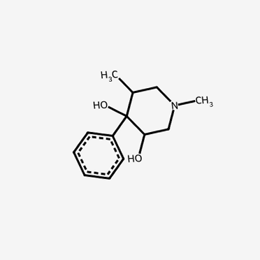 CC1CN(C)CC(O)C1(O)c1ccccc1